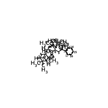 CC1(C)[C@@H]2C[C@H]3OB(C(CC4COc5ccccc54)N([Si](C)(C)C)[Si](C)(C)C)O[C@@]3(C)[C@H]1C2